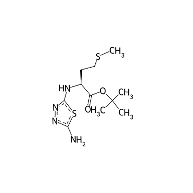 CSCC[C@H](Nc1nnc(N)s1)C(=O)OC(C)(C)C